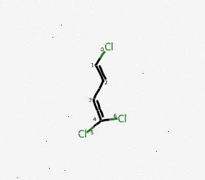 ClC=CC=C(Cl)Cl